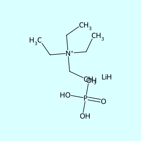 CC[N+](CC)(CC)CC.O=P(O)(O)O.[LiH]